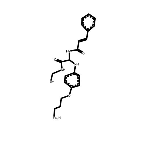 CC(C)CNC(=O)C(NC(=O)C=Cc1ccccc1)Nc1ccc(OCCCC(=O)O)cc1